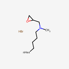 Br.CCCCCCCCCCN(C)CC1CO1